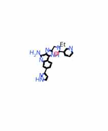 CCN(Cc1nc2c(N)nc3cc(-c4cc[nH]n4)ccc3c2[nH]1)C(=O)c1cccnc1